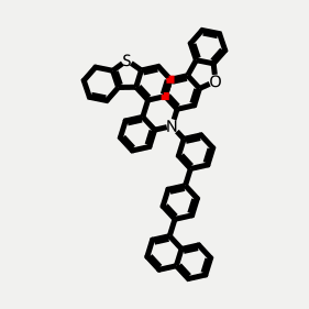 C1=Cc2c(sc3cccc(-c4ccccc4N(c4cccc(-c5ccc(-c6cccc7ccccc67)cc5)c4)c4ccc5c(c4)oc4ccccc45)c23)CC1